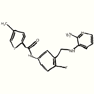 Cc1csc(C(=O)Nc2ccc(F)c(CNc3cccnc3N)c2)c1